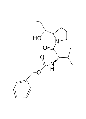 CC[C@@H](O)C1CCCN1C(=O)[C@H](NC(=O)OCc1ccccc1)C(C)C